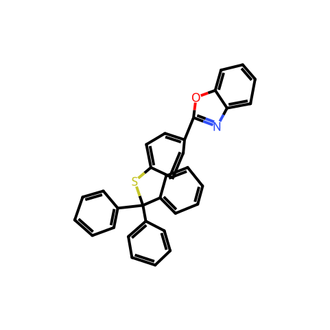 c1ccc(C(Sc2ccc(-c3nc4ccccc4o3)cc2)(c2ccccc2)c2ccccc2)cc1